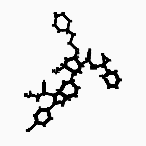 CNC(=O)c1c(-c2ccc(F)cc2)oc2ccc(-c3cc(C(=O)NC4(c5ccccn5)CC4)c(OCCN4CCOCC4)cc3C)cc12